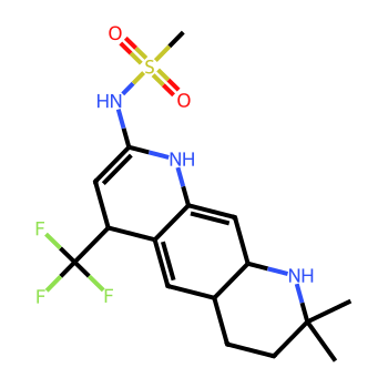 CC1(C)CCC2C=C3C(=CC2N1)NC(NS(C)(=O)=O)=CC3C(F)(F)F